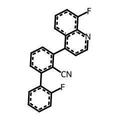 N#Cc1c(-c2ccccc2F)cccc1-c1ccnc2c(F)cccc12